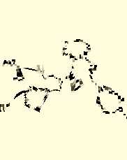 Cc1ccc(COc2ccccc2C(=O)N(CCNC(=O)O)Cc2ccc(Cl)cc2)cc1